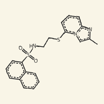 Cc1cn2c(SCCNS(=O)(=O)c3cccc4ccccc34)cccc2n1